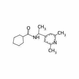 Cc1cc(C(C)NC(=O)C2CCCCC2)cc(C)n1